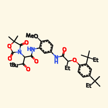 CCC(Oc1ccc(C(C)(C)CC)cc1C(C)(C)CC)C(=O)Nc1ccc(OC)c(NC(=O)C(C(=O)C(C)(C)C)N2C(=O)OC(C)(C)C2=O)c1